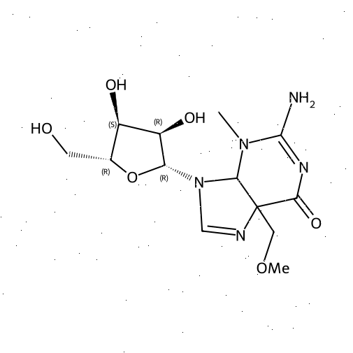 COCC12N=CN([C@@H]3O[C@H](CO)[C@@H](O)[C@H]3O)C1N(C)C(N)=NC2=O